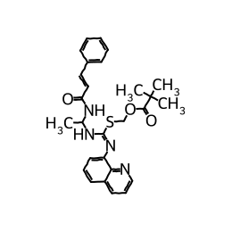 CC(NC(=O)/C=C/c1ccccc1)N/C(=N\c1cccc2cccnc12)SCOC(=O)C(C)(C)C